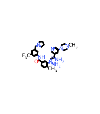 Cc1ccc(C(=O)Nc2cc(CN3CCCC3)cc(C(F)(F)F)c2)cc1N(N)/C=C(\N)c1cncc(N2CCN(C)CC2)c1